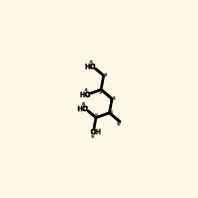 CC(CC(O)CO)C(O)O